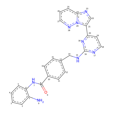 Nc1ccccc1NC(=O)c1ccc(CNc2nccc(-c3cnc4cccnn34)n2)cc1